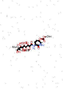 CCCCCCCCCCOC(=O)OC1CCC(NC(=O)C(OOC)C(OO)C(OO)C(OO)/C(O)=C(\O)C(C)(CO)OC)C(=O)NC1